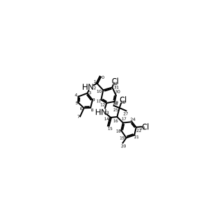 C=C(Nc1ccc(C)cc1)c1cc(NC(=C)C(c2cc(C)cc(Cl)c2)C(C)(C)Cl)ccc1Cl